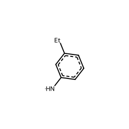 CCc1cccc([NH])c1